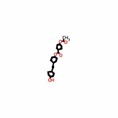 CC(=O)Oc1ccc(C(=O)Oc2ccc(C#Cc3ccc(O)cc3)cc2)cc1